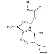 Cn1cc(NC(=O)OC(C)(C)C)c2c1N=CC(C1CCC1)C2=O